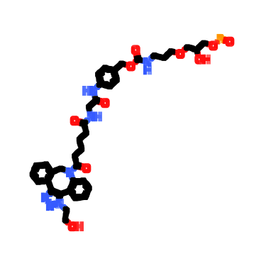 O=POCC(O)COCCCNC(=O)OCc1ccc(NC(=O)CNC(=O)CCCCC(=O)N2Cc3ccccc3-c3nnn(CCO)c3-c3ccccc32)cc1